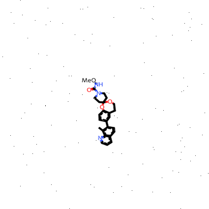 CONC(=O)N1CCC2(CC1)OCCc1cc(-c3ccc4cccnc4c3C)ccc1O2